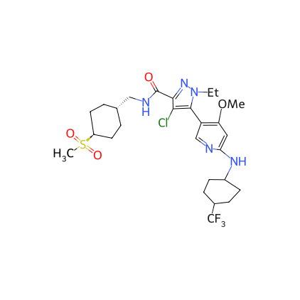 CCn1nc(C(=O)NC[C@H]2CC[C@H](S(C)(=O)=O)CC2)c(Cl)c1-c1cnc(NC2CCC(C(F)(F)F)CC2)cc1OC